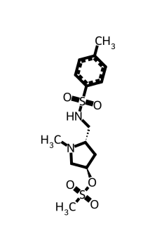 Cc1ccc(S(=O)(=O)NC[C@@H]2C[C@@H](OS(C)(=O)=O)CN2C)cc1